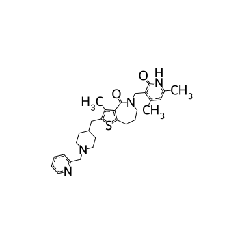 Cc1cc(C)c(CN2CCCc3sc(CC4CCN(Cc5ccccn5)CC4)c(C)c3C2=O)c(=O)[nH]1